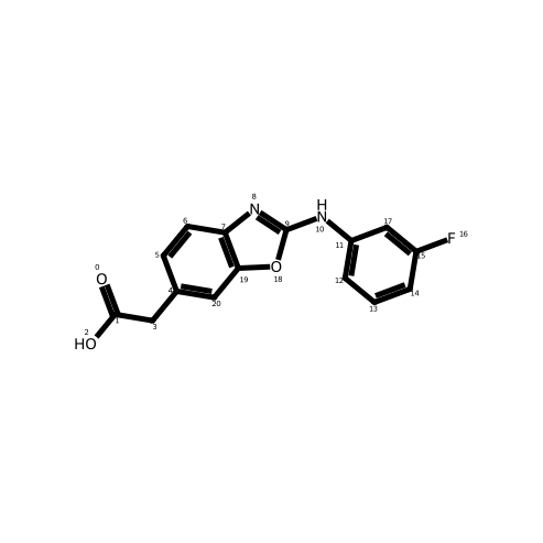 O=C(O)Cc1ccc2nc(Nc3cccc(F)c3)oc2c1